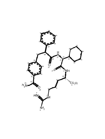 CCOC(=O)[C@H](CCCNC(=N)N)NC(=O)[C@@H](NC(=O)C(Cc1ccc(C(N)=O)cc1)c1ccccc1)C1CCCCC1